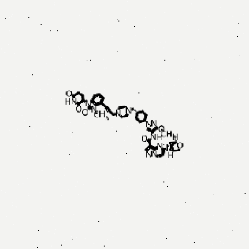 COc1nn([C@H]2CC[C@H](CN3CCN(CC#Cc4cccc5c4n(C)c(=O)n5C4CCC(=O)NC4=O)CC3)CC2)cc1NC(=O)c1cnn2ccc(N3C[C@H]4C[C@@H]3CO4)nc12